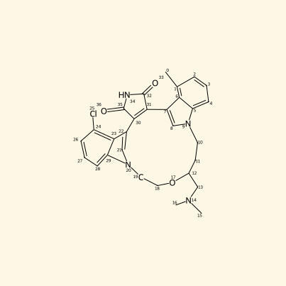 Cc1cccc2c1c1cn2CCC(CN(C)C)OCCn2cc(c3c(Cl)cccc32)C2=C1C(=O)NC2=O